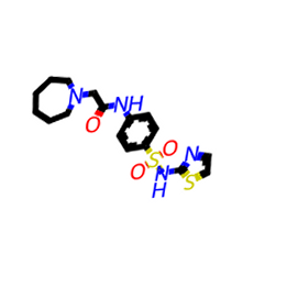 O=C(CN1CCCCCC1)Nc1ccc(S(=O)(=O)Nc2nccs2)cc1